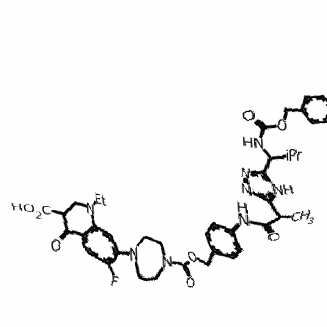 CCN1CC(C(=O)O)C(=O)c2cc(F)c(N3CCN(C(=O)OCc4ccc(NC(=O)C(C)c5nnc(C(NC(=O)OCc6ccccc6)C(C)C)[nH]5)cc4)CC3)cc21